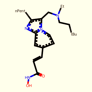 CCCCCc1nc2cc(C=CC(=O)NO)ccn2c1CN(CC)CCC(C)(C)C